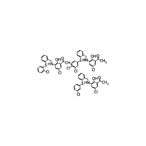 CC(=O)c1cc(Cl)cc(NCc2ccccc2Sc2ccc(Cl)c(Cl)c2)c1O.CC(=O)c1cc(Cl)cc(NCc2ccccc2Sc2cccc(Cl)c2)c1O.CC(=O)c1cc(Cl)cc(NCc2ccccc2Sc2ccccc2Cl)c1O